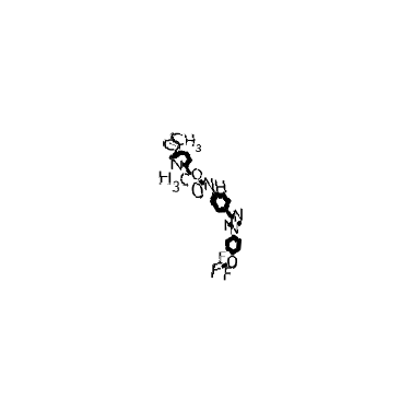 COc1ccc(C(C)OC(=O)Nc2ccc(-c3ncn(-c4ccc(OC(F)(F)F)cc4)n3)cc2)nc1